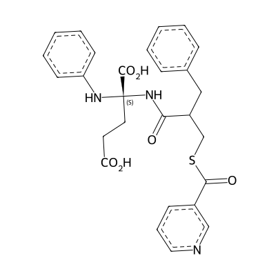 O=C(O)CC[C@@](NC(=O)C(CSC(=O)c1cccnc1)Cc1ccccc1)(Nc1ccccc1)C(=O)O